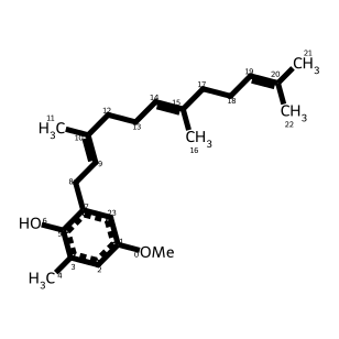 COc1cc(C)c(O)c(C/C=C(\C)CC/C=C(\C)CCC=C(C)C)c1